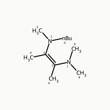 CCCCN(C)C(C)=C(C)N(C)C